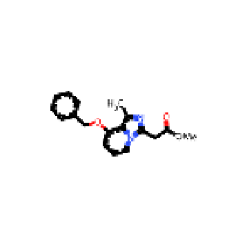 COC(=O)Cc1nc(C)c2c(OCc3ccccc3)cccn12